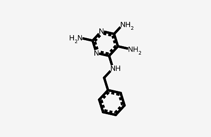 Nc1nc(N)c(N)c(NCc2ccccc2)n1